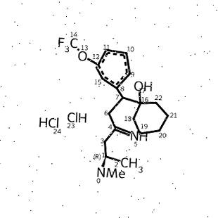 CN[C@H](C)CC(=N)CC(c1cccc(OC(F)(F)F)c1)C1(O)CCCCC1.Cl.Cl